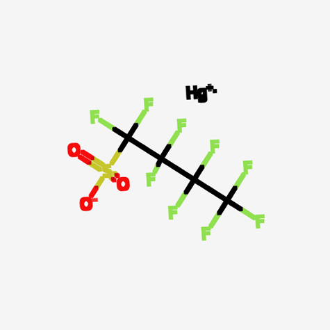 O=S(=O)([O-])C(F)(F)C(F)(F)C(F)(F)C(F)(F)F.[Hg+]